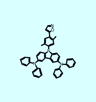 Cc1cc(-n2c3ccc(N(c4ccccc4)c4ccccc4)cc3c3cc(N(c4ccccc4)c4ccccc4)ccc32)c(C)cc1-c1ccno1